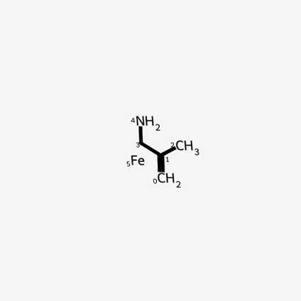 C=C(C)CN.[Fe]